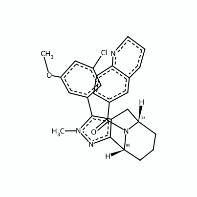 COc1cc(Cl)cc(-c2c3c(nn2C)[C@H]2CCC[C@@H](C3)N2C(=O)c2ccc3ncccc3c2)c1